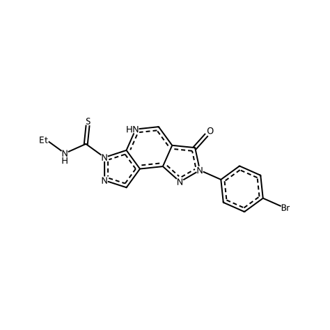 CCNC(=S)n1ncc2c3nn(-c4ccc(Br)cc4)c(=O)c-3c[nH]c21